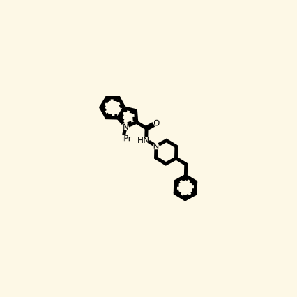 CC(C)n1c(C(=O)NN2CCC(Cc3ccccc3)CC2)cc2ccccc21